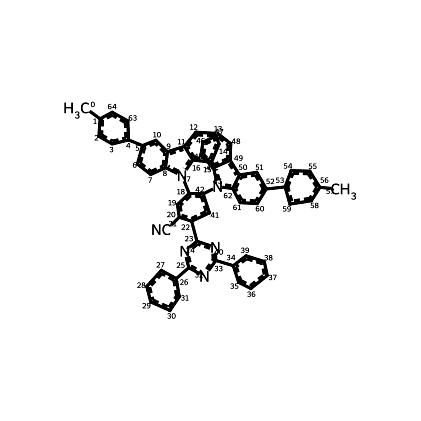 Cc1ccc(-c2ccc3c(c2)c2ccccc2n3-c2cc(C#N)c(-c3nc(-c4ccccc4)nc(-c4ccccc4)n3)cc2-n2c3ccccc3c3cc(-c4ccc(C)cc4)ccc32)cc1